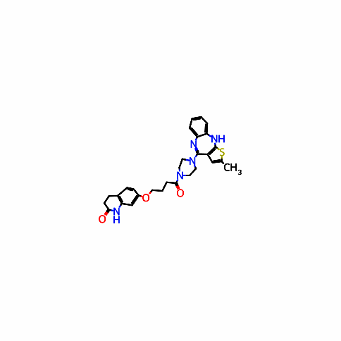 Cc1cc2c(s1)Nc1ccccc1N=C2N1CCN(C(=O)CCCOc2ccc3c(c2)NC(=O)CC3)CC1